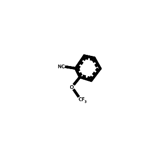 N#Cc1ccccc1OC(F)(F)F